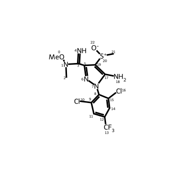 CON(C)C(=N)c1nn(-c2c(Cl)cc(C(F)(F)F)cc2Cl)c(N)c1[S+](C)[O-]